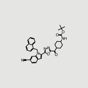 CC(C)(C)OC(=O)NC1CCC(C(=O)c2nnc(-c3cc4ccc(C#N)cc4n3Cc3cccc4ccccc34)o2)CC1